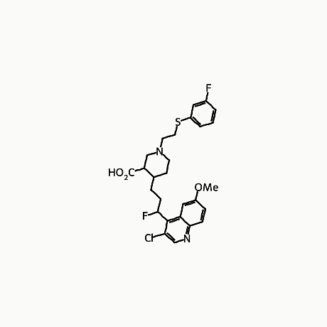 COc1ccc2ncc(Cl)c(C(F)CCC3CCN(CCSc4cccc(F)c4)CC3C(=O)O)c2c1